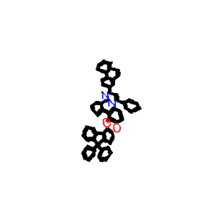 c1ccc(-c2cc(-c3ccc4c(ccc5ccccc54)c3)nc(-c3ccccc3-c3cccc4c3Oc3c(ccc5c3-c3ccccc3C5(c3ccccc3)c3ccccc3)O4)n2)cc1